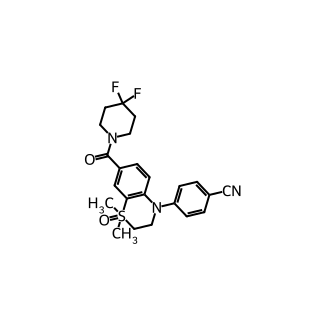 CS1(C)(=O)CCN(c2ccc(C#N)cc2)c2ccc(C(=O)N3CCC(F)(F)CC3)cc21